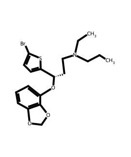 CCCN(CC)CC[C@H](Oc1cccc2c1OCO2)c1ccc(Br)s1